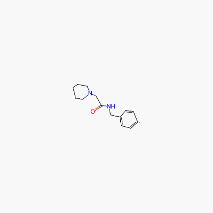 O=C(CN1CCCCC1)NCc1cc[c]cc1